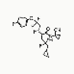 N#CC1(NC(=O)C(CC(F)(F)CC2CC2)NCC(F)(F)Oc2ccc(F)cc2)CC1